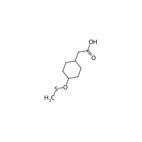 CSOC1CCC(CC(=O)O)CC1